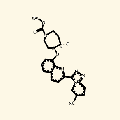 CC(C)(C)OC(=O)N1CC[C@H](Oc2cccc3ccc(-c4nnc5ccc(C#N)cn45)nc23)[C@@H](F)CC1